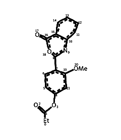 CCC(=O)Oc1ccc(-c2nc3ccccc3c(=O)o2)c(OC)c1